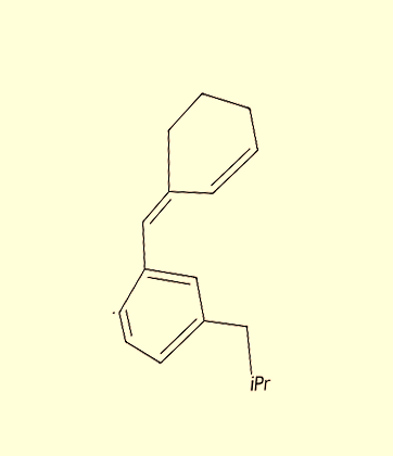 CC(C)Cc1cc[c]c(C=C2C=CCCC2)c1